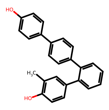 Cc1cc(-c2ccccc2-c2ccc(-c3ccc(O)cc3)cc2)ccc1O